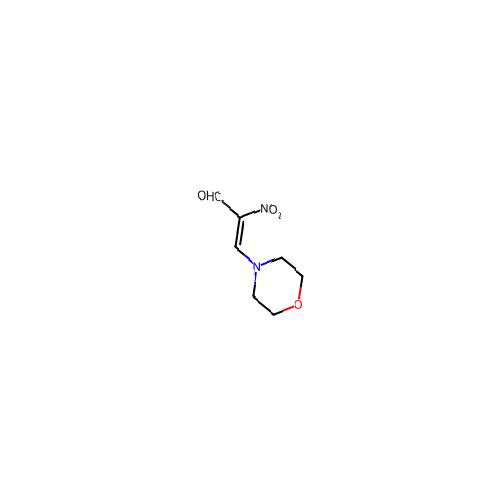 O=CC(=CN1CCOCC1)[N+](=O)[O-]